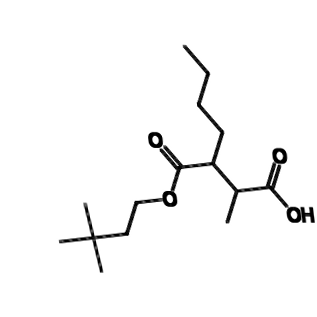 CCCCC(C(=O)OCCC(C)(C)C)C(C)C(=O)O